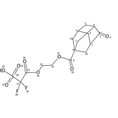 O=C1C2CC3CC1CC(C(=O)OCCOC(=O)C(F)(F)S(=O)(=O)O)(C3)C2